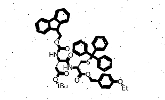 CCOc1ccc(COC(=O)[C@H](CSC(c2ccccc2)(c2ccccc2)c2ccccc2)NC(=O)[C@H](CC(=O)OC(C)(C)C)NC(=O)OCC2c3ccccc3-c3ccccc32)cc1